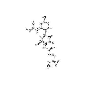 COC(=O)Nc1cc(Cl)ccc1-c1cc(=O)n(CC(=O)NCC2(CO)CC2)c(C)n1